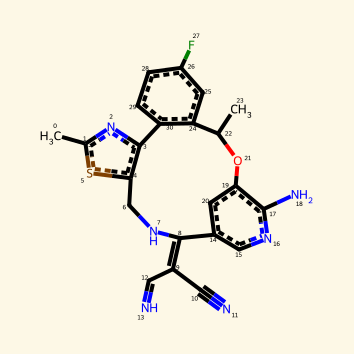 Cc1nc2c(s1)CN/C(=C(/C#N)C=N)c1cnc(N)c(c1)OC(C)c1cc(F)ccc1-2